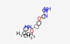 CC(C)(C)c1cccc(NC(=O)C2CCc3ccc(Oc4ccnc(-c5cc[nH]n5)c4)cc3C2)c1